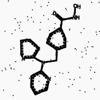 O=C(NO)c1ccc(CN(c2ccccn2)c2ccccn2)cc1